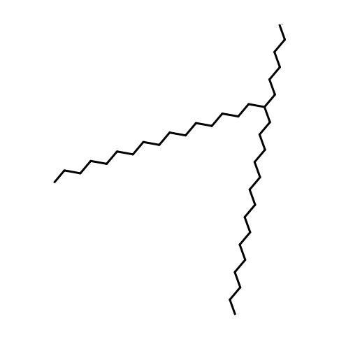 [CH2]CCCCCC(CCCCCCCCCCCCCCC)CCCCCCCCCCCCCCCC